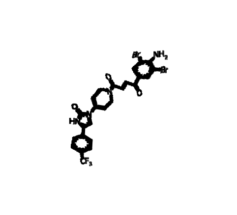 Nc1c(Br)cc(C(=O)CCC(=O)N2CCC(n3cc(-c4ccc(C(F)(F)F)cc4)[nH]c3=O)CC2)cc1Br